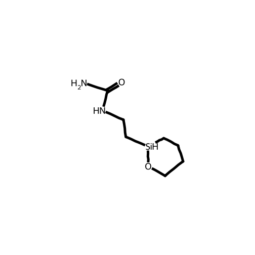 NC(=O)NCC[SiH]1CCCCO1